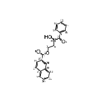 O=C(OCCN(O)C(=O)c1ccccc1)c1ccc2ccccc2c1